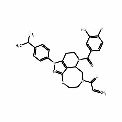 C=CC(=O)N1CCOc2nn(-c3ccc(C(C)C)cc3)c3c2C(C1)N(C(=O)c1ccc(Br)c(O)c1)CC3